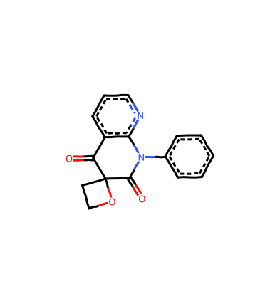 O=C1c2cccnc2N(c2ccccc2)C(=O)C12CCO2